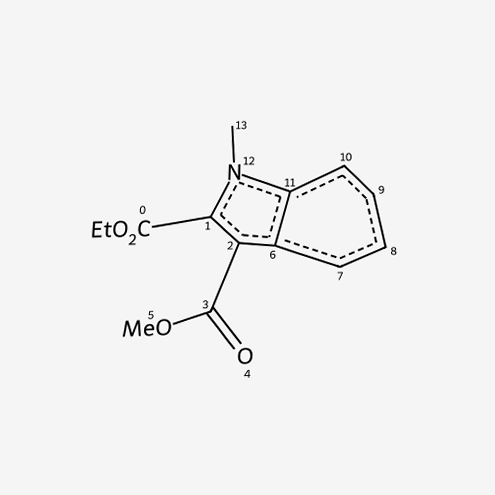 CCOC(=O)c1c(C(=O)OC)c2ccccc2n1C